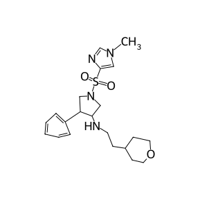 Cn1cnc(S(=O)(=O)N2CC(NCCC3CCOCC3)C(c3ccccc3)C2)c1